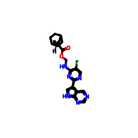 O=C(OCNc1nc(-c2c[nH]c3ncncc23)ncc1F)[C@@H]1CC2CCC1CC2